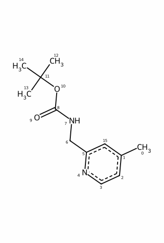 Cc1ccnc(CNC(=O)OC(C)(C)C)c1